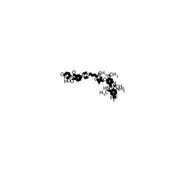 COc1cc2nc(C)nc(N[C@H](C)c3cc(N)cc(C(F)(F)F)c3)c2cc1OCC1(CN(C)C(=O)CCCN2CCN(c3ccc4c(c3)C(=O)N(C3CCC(=O)NC3=O)C4=O)CC2)CC1